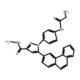 CNC(=O)c1cc(-c2ccc3ccc4ccccc4c3c2)n(-c2ccc(NC(=O)CN)cc2)n1